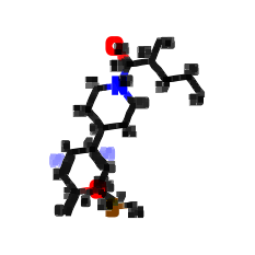 C=C(/C=C\C(=C/C(C)C)C1CCN(C(=O)C(C)CCC)CC1)OSC